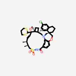 CO[C@@]1(C2SCCCS2)/C=C/[C@H](C)[C@H](C)CS(=O)(=O)NC(=O)c2ccc3c(c2)N(C[C@@H]2CC[C@H]21)C[C@@]1(CCCc2cc(Cl)ccc21)CO3